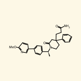 COc1ccc(-c2ccc([C@H](C)N3CCC(CCC(N)=O)(c4ccccc4)CC3=O)cc2)cn1